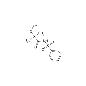 CC(C)OC(C)(C)C(=O)NS(=O)(=O)c1ccccc1